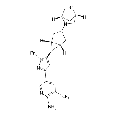 CC(C)n1nc(-c2cnc(N)c(C(F)(F)F)c2)cc1[C@H]1[C@@H]2CC(N3C[C@@H]4C[C@H]3CO4)C[C@@H]21